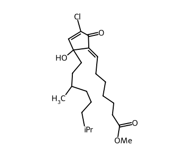 COC(=O)CCCCC/C=C1/C(=O)C(Cl)=CC1(O)CCC(C)CCCC(C)C